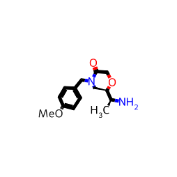 COc1ccc(CN2C[C@H]([C@H](C)N)OCC2=O)cc1